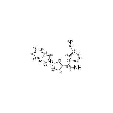 N#Cc1ccc2[nH]cc(C3CCC(N4Cc5ccccc5C4)C3)c2c1